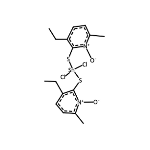 CCc1ccc(C)[n+]([O-])c1[S][Sn]([Cl])([Cl])[S]c1c(CC)ccc(C)[n+]1[O-]